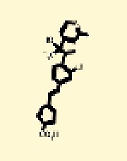 Cc1cc(C(O)(C(C)c2ccc(C=Cc3ccc(C(=O)O)cc3)cc2Cl)C(F)(F)F)ccn1